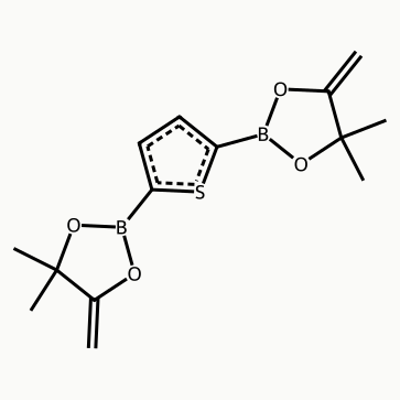 C=C1OB(c2ccc(B3OC(=C)C(C)(C)O3)s2)OC1(C)C